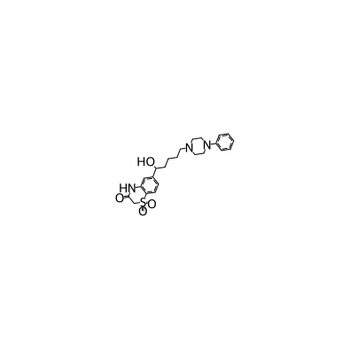 O=C1CS(=O)(=O)c2ccc(C(O)CCCCN3CCN(c4ccccc4)CC3)cc2N1